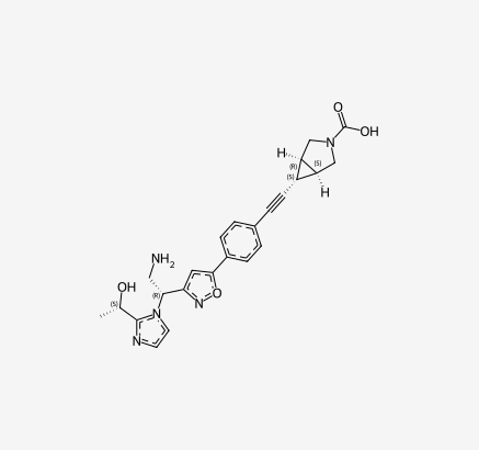 C[C@H](O)c1nccn1[C@H](CN)c1cc(-c2ccc(C#C[C@@H]3[C@H]4CN(C(=O)O)C[C@@H]34)cc2)on1